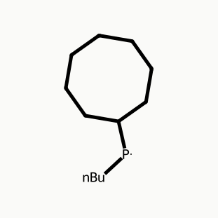 CCCC[P]C1CCCCCCC1